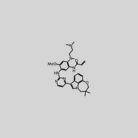 C=CC(=O)Nc1cc(Nc2nccc(-c3cn4c5c(cccc35)OCC(C)(C)C4)n2)c(OC)cc1N(C)CCN(C)C